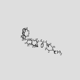 CC1CCN(CC(=O)Cc2cc3cc(-c4cnn(C)c4)ccc3cn2)CC1